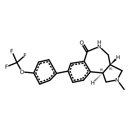 CN1C[C@H]2CNC(=O)c3cc(-c4ccc(OC(F)(F)F)cc4)ccc3[C@@H]2C1